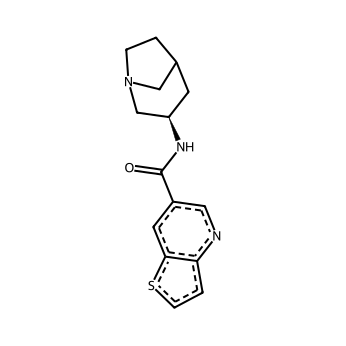 O=C(N[C@@H]1CC2CCN(C2)C1)c1cnc2ccsc2c1